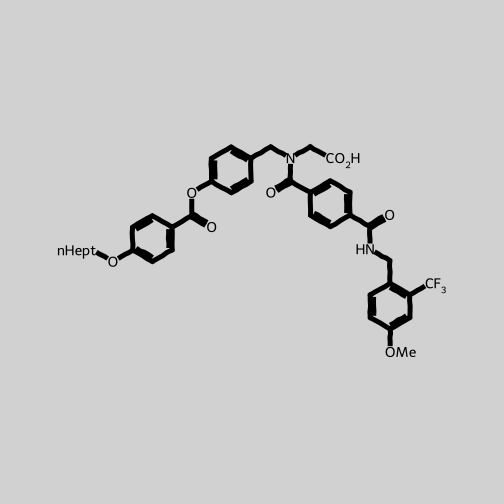 CCCCCCCOc1ccc(C(=O)Oc2ccc(CN(CC(=O)O)C(=O)c3ccc(C(=O)NCc4ccc(OC)cc4C(F)(F)F)cc3)cc2)cc1